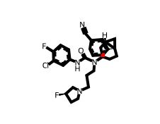 N#Cc1cccc([C@]23CCC(N(CCCN4CC[C@@H](F)C4)C(=O)Nc4ccc(F)c(Cl)c4)C[C@@H]2C3)c1